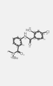 CCCCN(C)C(=O)c1cccc(NC(=O)c2ccc(Cl)cc2O)c1